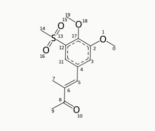 COc1cc(/C=C(\C)C(C)=O)cc(S(C)(=O)=O)c1OC